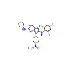 NC(=O)[C@H]1CC[C@H](n2c(Nc3c(Cl)cc(F)cc3Cl)nc3cnc(NC4CCCC4)nc32)CC1